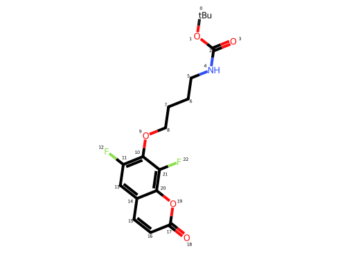 CC(C)(C)OC(=O)NCCCCOc1c(F)cc2ccc(=O)oc2c1F